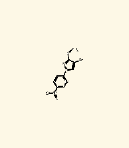 COc1nn(-c2ccc([N+](=O)[O-])cn2)cc1Br